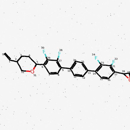 C=CC1CCC(c2ccc(-c3ccc(-c4ccc(C5CO5)c(F)c4F)cc3)c(F)c2F)OC1